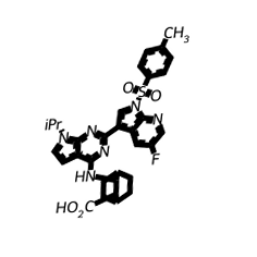 Cc1ccc(S(=O)(=O)n2cc(-c3nc(NC4C5CCC(CC5)C4C(=O)O)c4ccn(C(C)C)c4n3)c3cc(F)cnc32)cc1